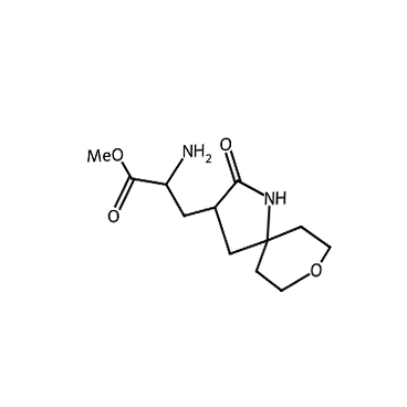 COC(=O)C(N)CC1CC2(CCOCC2)NC1=O